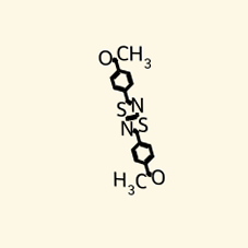 CC(=O)c1ccc(-c2nc3sc(-c4ccc(C(C)=O)cc4)nc3s2)cc1